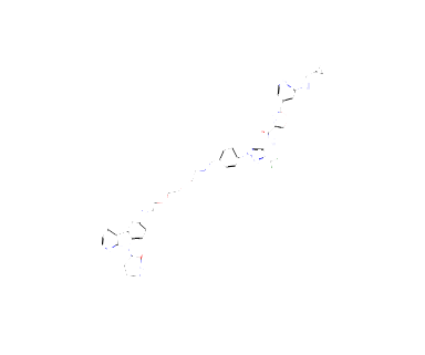 O=C1CCC(n2c3ccc(NCCOCCOCCNCc4ccc(-n5cc(NC(=O)c6coc(-c7ccnc(NCC8CC8)c7)n6)c(C(F)F)n5)cc4)cc3c3cccnc32)C(=O)N1